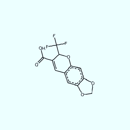 O=C(O)C1=Cc2cc3c(cc2OC1C(F)(F)F)OCO3